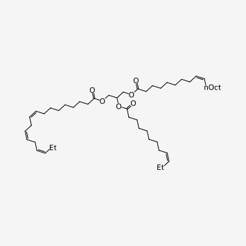 CC/C=C\C/C=C\C/C=C\CCCCCCCC(=O)OCC(COC(=O)CCCCCCC/C=C\CCCCCCCC)OC(=O)CCCCCCC/C=C\CC